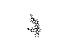 N#Cc1ccc(-n2c3ccccc3c3ccccc32)c(-c2ccc3sc4ccc5c6cc(C#N)ccc6sc5c4c3c2)c1